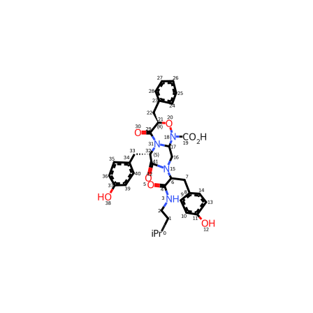 CC(C)CCNC(=O)C(Cc1ccc(O)cc1)N1CC2N(C(=O)O)O[C@H](Cc3ccccc3)C(=O)N2[C@@H](Cc2ccc(O)cc2)C1=O